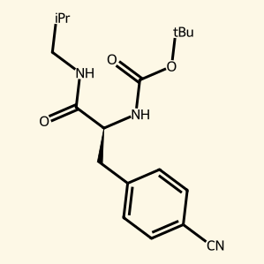 CC(C)CNC(=O)[C@H](Cc1ccc(C#N)cc1)NC(=O)OC(C)(C)C